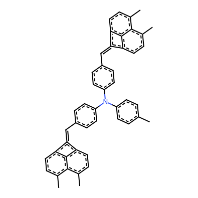 Cc1ccc(N(c2ccc(C=c3c4ccc(C)c5c(C)ccc3c54)cc2)c2ccc(C=c3c4ccc(C)c5c(C)ccc3c54)cc2)cc1